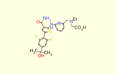 CCN(CC(=O)O)Cc1cccc(Nc2sc(-c3c(F)cc(C(C)(C)O)cc3F)cc2C(N)=O)n1